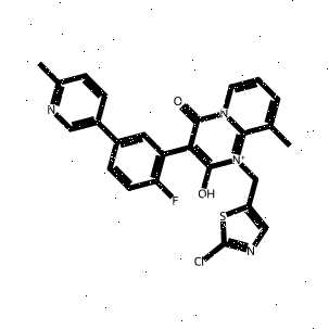 Cc1ccc(-c2ccc(F)c(-c3c(O)[n+](Cc4cnc(Cl)s4)c4c(C)cccn4c3=O)c2)cn1